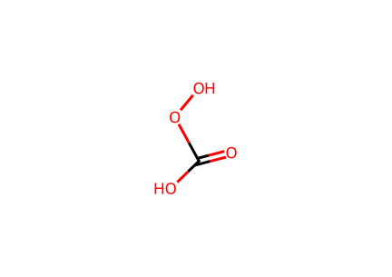 O=C(O)OO